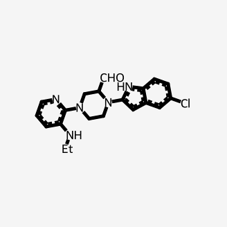 CCNc1cccnc1N1CCN(c2cc3cc(Cl)ccc3[nH]2)C(C=O)C1